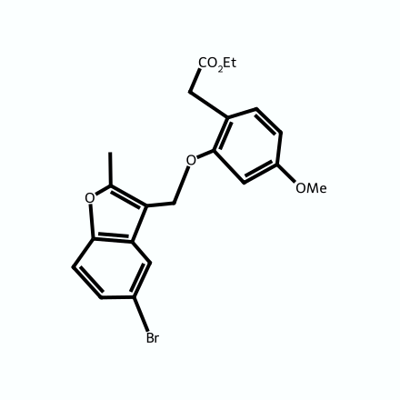 CCOC(=O)Cc1ccc(OC)cc1OCc1c(C)oc2ccc(Br)cc12